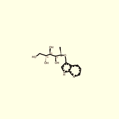 C[C@@H](Oc1c[nH]c2ncccc12)[C@@H](O)[C@H](O)[C@H](O)CO